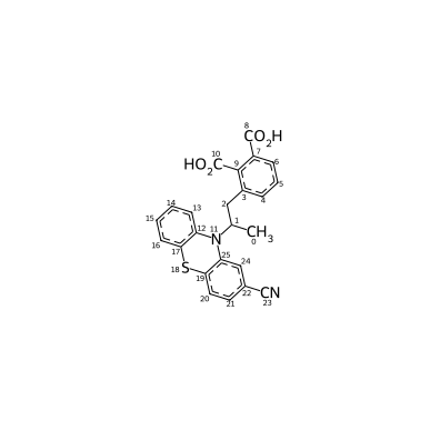 CC(Cc1cccc(C(=O)O)c1C(=O)O)N1c2ccccc2Sc2ccc(C#N)cc21